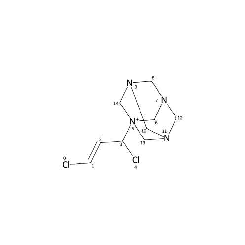 ClC=CC(Cl)[N+]12CN3CN(CN(C3)C1)C2